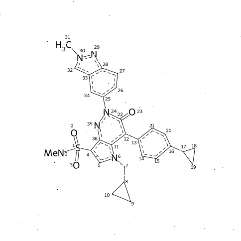 CNS(=O)(=O)c1cn(CC2CC2)c2c(-c3ccc(C4CC4)cc3)c(=O)n(-c3ccc4nn(C)cc4c3)nc12